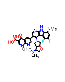 CNc1cc(F)c(F)c2c1[nH]c1ncc(-c3cnc4c(c3)c(=O)c(C(O)O)cn4C)c(N3CC4OCC(N(C)C)[C@H]4C3)c12